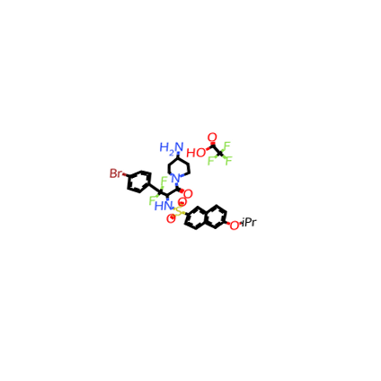 CC(C)Oc1ccc2cc(S(=O)(=O)NC(C(=O)N3CCC(N)CC3)C(F)(F)c3ccc(Br)cc3)ccc2c1.O=C(O)C(F)(F)F